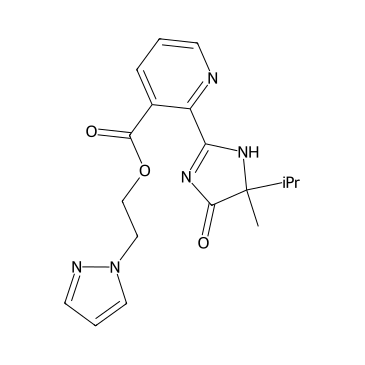 CC(C)C1(C)NC(c2ncccc2C(=O)OCCn2cccn2)=NC1=O